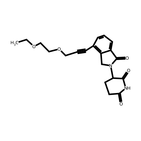 CCOCCOCC#Cc1cccc2c1CN(C1CCC(=O)NC1=O)C2=O